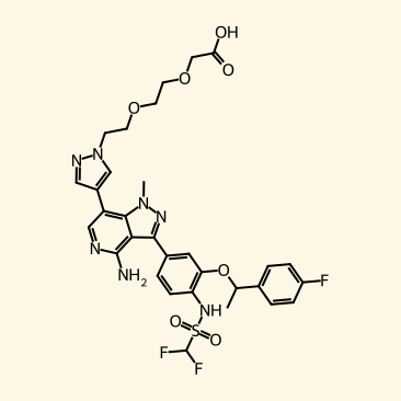 CC(Oc1cc(-c2nn(C)c3c(-c4cnn(CCOCCOCC(=O)O)c4)cnc(N)c23)ccc1NS(=O)(=O)C(F)F)c1ccc(F)cc1